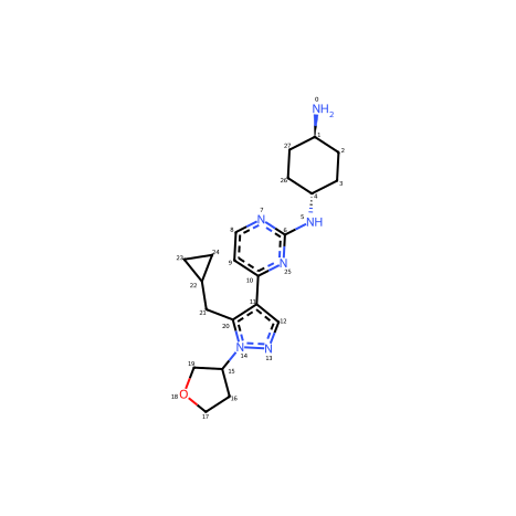 N[C@H]1CC[C@H](Nc2nccc(-c3cnn(C4CCOC4)c3CC3CC3)n2)CC1